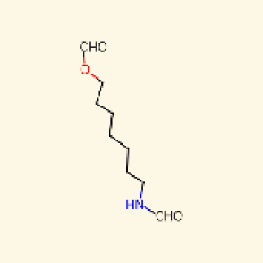 O=CNCCCCCCCOC=O